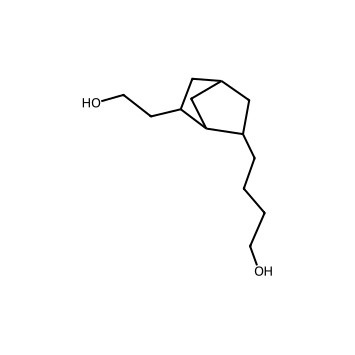 OCCCCC1CC2CC(CCO)C1C2